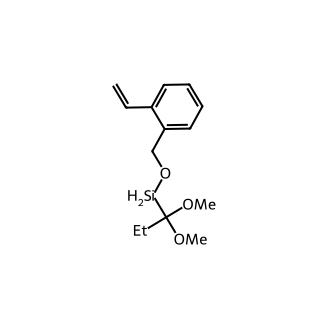 C=Cc1ccccc1CO[SiH2]C(CC)(OC)OC